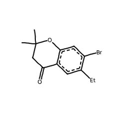 CCc1cc2c(cc1Br)OC(C)(C)CC2=O